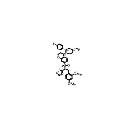 COc1ccc(CN(c2ncns2)S(=O)(=O)c2ccc3c(c2)OCC[C@@H]3N2CC[C@@H](CF)C[C@H]2c2ccc(F)cc2)c(OC)c1